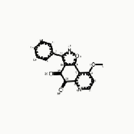 COc1ccnc2c1-c1onc(-c3ccccc3)c1C(=O)C2=O